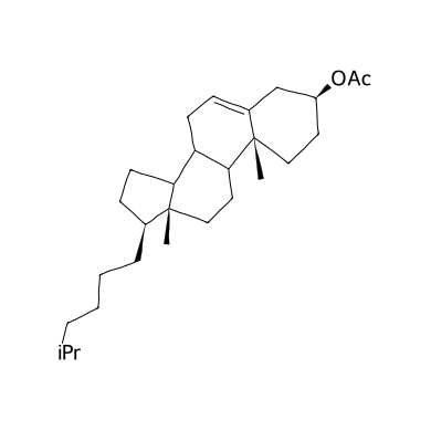 CC(=O)O[C@H]1CC[C@@]2(C)C(=CCC3C2CC[C@@]2(C)C3CC[C@@H]2CCCCC(C)C)C1